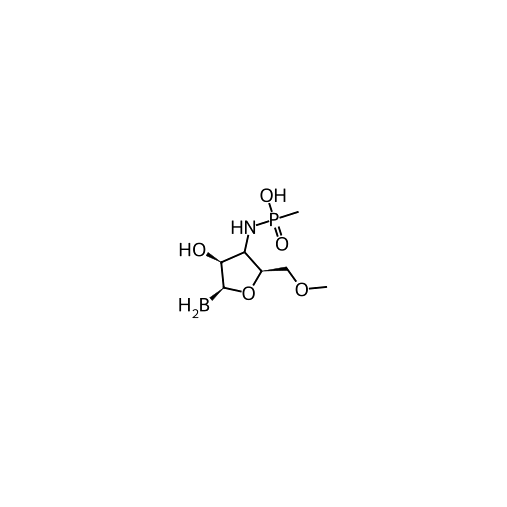 B[C@@H]1O[C@H](COC)C(NP(C)(=O)O)[C@@H]1O